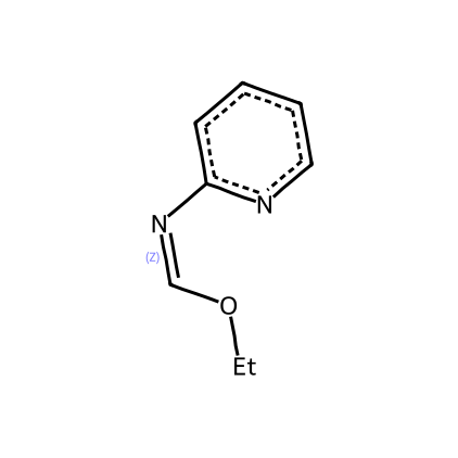 CCO/C=N\c1ccccn1